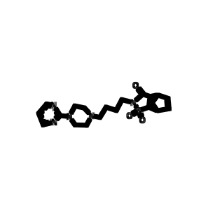 O=C1C2C3C=CC(C3)C2S(=O)(=O)N1CCCCN1CCN(c2ncccn2)CC1